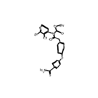 CCc1nccc(N(C(=O)Cc2ccc(Oc3ccc(C(N)=S)cc3)cc2)C(=O)OC(C)C)c1Cl